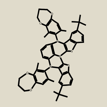 Cc1cc2c(c(C)c1N1c3cccc4c3B(c3sc5ccc(C(C)(C)C)cc5c31)c1sc3ccc(C(C)(C)C)cc3c1N4c1c(C)cc3c(c1C)OCCCO3)OCCCO2